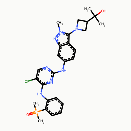 Cn1nc2cc(Nc3ncc(Cl)c(Nc4ccccc4P(C)(C)=O)n3)ccc2c1N1CC(C(C)(C)O)C1